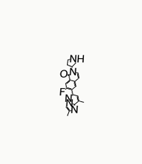 Cc1cn2nc(-c3cc4ccn(C5CCNC5)c(=O)c4cc3F)cc(C)c2n1